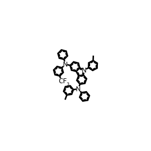 Cc1cccc(N(c2ccccc2)c2ccc3c(c2)c2cc(N(c4ccccc4)c4cccc(C(F)(F)F)c4)ccc2n3-c2cccc(C)c2)c1